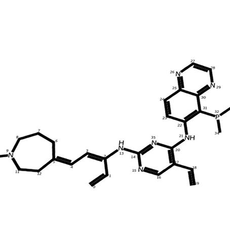 C=C/C(=C\C=C1/CCCN(C)CC1)Nc1ncc(C=C)c(Nc2ccc3nccnc3c2P(C)C)n1